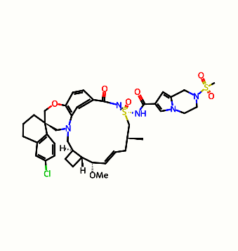 CO[C@H]1/C=C/C[C@H](C)C[S@@](=O)(NC(=O)c2cc3n(c2)CCN(S(C)(=O)=O)C3)=NC(=O)c2ccc3c(c2)N(C[C@@H]2CC[C@H]21)C[C@@]1(CCCc2cc(Cl)ccc21)CO3